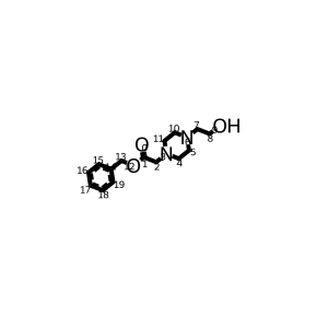 O=C(CN1CCN(CCO)CC1)OCc1ccccc1